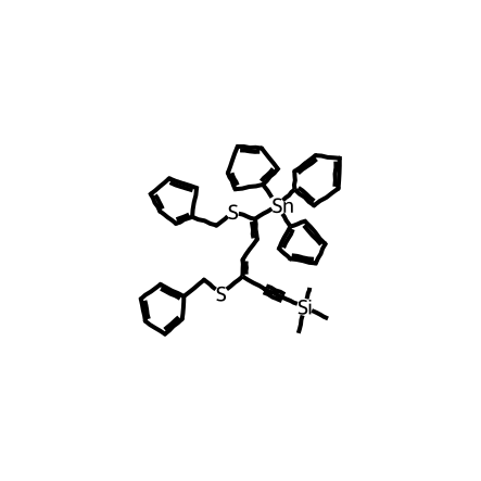 C[Si](C)(C)C#C/C(=C\C=[C](/SCc1ccccc1)[Sn]([c]1ccccc1)([c]1ccccc1)[c]1ccccc1)SCc1ccccc1